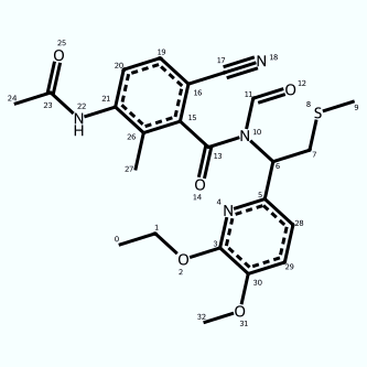 CCOc1nc(C(CSC)N(C=O)C(=O)c2c(C#N)ccc(NC(C)=O)c2C)ccc1OC